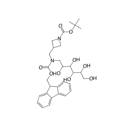 CC(C)(C)OC(=O)N1CC(CN(CC(O)C(O)C(O)C(O)CO)C(=O)OCC2c3ccccc3-c3ccccc32)C1